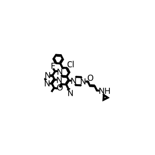 CC(C)c1ncnc(C(C)C)c1-n1c(=O)c(C#N)c(N2CCN(C(=O)C=CCNC3CC3)CC2)c2cc(Cl)c(-c3ccccc3F)nc21